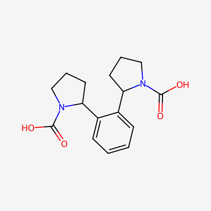 O=C(O)N1CCCC1c1ccccc1C1CCCN1C(=O)O